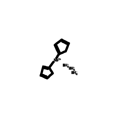 C1=CC[C]([Nb+3][C]2=CC=CC2)=C1.[BH4-].[BH4-].[BH4-]